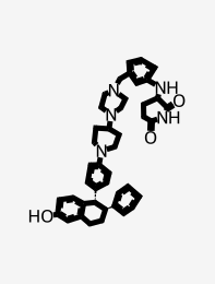 O=C1CCC(Nc2cccc(CN3CCN(C4CCN(c5ccc([C@H]6c7ccc(O)cc7CC[C@H]6c6ccccc6)cc5)CC4)CC3)c2)C(=O)N1